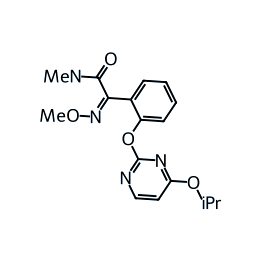 CNC(=O)C(=NOC)c1ccccc1Oc1nccc(OC(C)C)n1